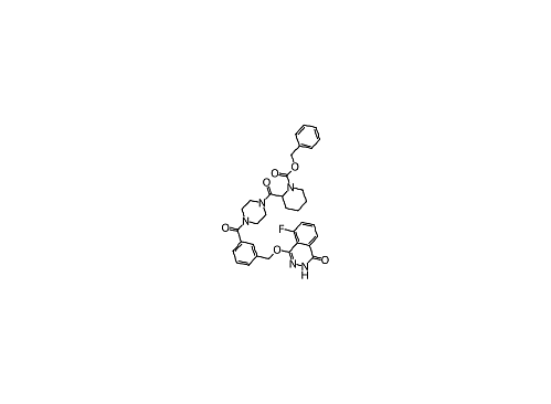 O=C(c1cccc(COc2n[nH]c(=O)c3cccc(F)c23)c1)N1CCN(C(=O)C2CCCCN2C(=O)OCc2ccccc2)CC1